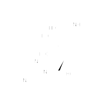 CC1(C)[C@H](Cn2cncn2)CC[C@]1(C)N.Cl